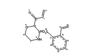 C=CC(=O)C1CNCCO1.C=Cc1ccccc1S(=O)(=O)O